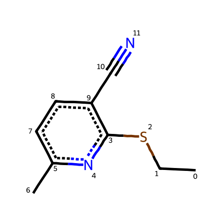 CCSc1nc(C)ccc1C#N